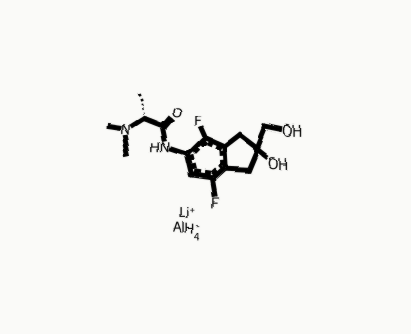 C[C@H](C(=O)Nc1cc(F)c2c(c1F)CC(O)(CO)C2)N(C)C.[AlH4-].[Li+]